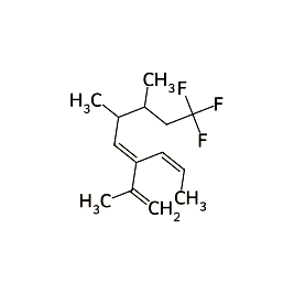 C=C(C)C(/C=C\C)=C/C(C)C(C)CC(F)(F)F